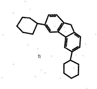 [CH]1c2ccc(C3CCCCC3)cc2-c2cc(C3CCCCC3)ccc21.[Ti]